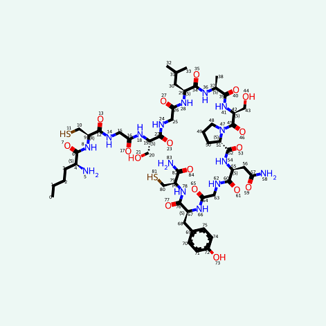 CCCC[C@H](N)C(=O)N[C@@H](CS)C(=O)NCC(=O)N[C@@H](CO)C(=O)NCC(=O)N[C@@H](CC(C)C)C(=O)N[C@@H](C)C(=O)N[C@@H](CO)C(=O)N1CCC[C@H]1C(=O)N[C@@H](CC(N)=O)C(=O)NCC(=O)N[C@@H](Cc1ccc(O)cc1)C(=O)N[C@@H](CS)C(N)=O